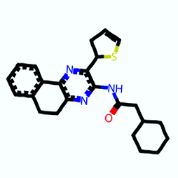 O=C(CC1CCCCC1)Nc1nc2c(nc1C1CC=CS1)-c1ccccc1CC2